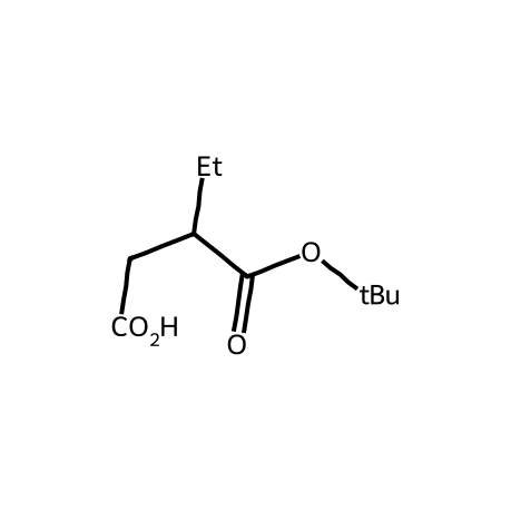 CCC(CC(=O)O)C(=O)OC(C)(C)C